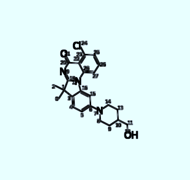 CC1(C)c2ccc(N3CCC(CO)CC3)cc2-n2c1nc(=O)c1c(Cl)cccc12